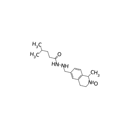 CC(C)CCC(=O)NNCc1ccc2c(c1)CC[N+](=O)C2C